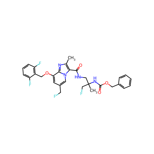 Cc1nc2c(OCc3c(F)cccc3F)cc(CF)cn2c1C(=O)NCC(C)(CF)NC(=O)OCc1ccccc1